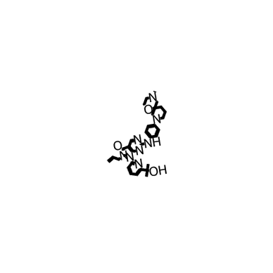 C=CCn1c(=O)c2cnc(Nc3ccc(N4CCCC5(CN(C)CCO5)C4)cc3)nc2n1-c1cccc(C(C)(C)O)n1